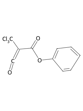 O=C=C(C(=O)Oc1ccccc1)C(Cl)(Cl)Cl